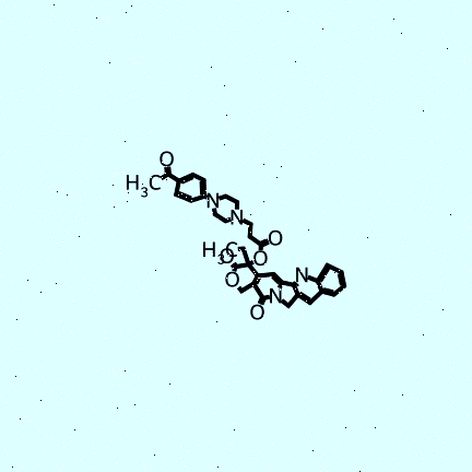 CCC1(OC(=O)CCN2CCN(c3ccc(C(C)=O)cc3)CC2)C(=O)OCc2c1cc1n(c2=O)Cc2cc3ccccc3nc2-1